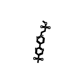 COS(=O)(=O)CC[n+]1ccc(-c2ncc(S(C)(=O)=O)cn2)cn1